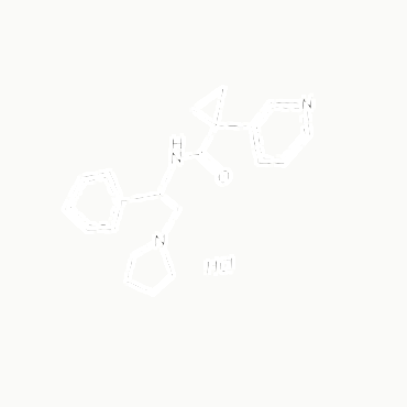 Cl.O=C(NC(CN1CCCC1)c1ccccc1)C1(c2cccnc2)CC1